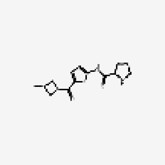 CC1CN(C(=O)c2ccc(NC(=O)C3CCCN3)s2)C1